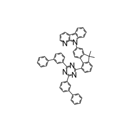 CC1(C)c2cc(-n3c4ccccc4c4cccnc43)ccc2-c2c(-c3nc(-c4cccc(-c5ccccc5)c4)nc(-c4cccc(-c5ccccc5)c4)n3)cccc21